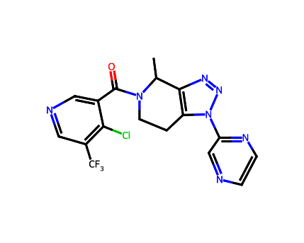 CC1c2nnn(-c3cnccn3)c2CCN1C(=O)c1cncc(C(F)(F)F)c1Cl